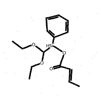 CC=CC(=O)O[SiH](c1ccccc1)C(OCC)OCC